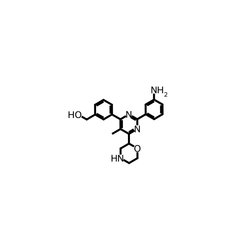 Cc1c(-c2cccc(CO)c2)nc(-c2cccc(N)c2)nc1C1CNCCO1